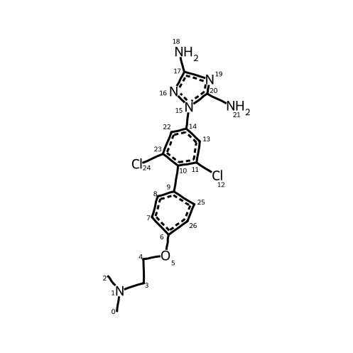 CN(C)CCOc1ccc(-c2c(Cl)cc(-n3nc(N)nc3N)cc2Cl)cc1